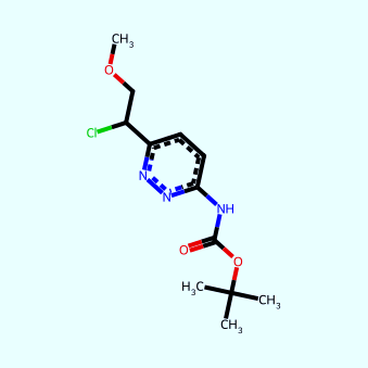 COCC(Cl)c1ccc(NC(=O)OC(C)(C)C)nn1